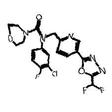 O=C(N1CCOCC1)N(Cc1ccc(-c2nnc(C(F)F)o2)cn1)c1ccc(F)c(Cl)c1